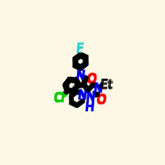 CCN1C(=O)NC(c2cn(-c3ccc(F)cc3)c3ccc(Cl)cc23)(N2CCCCC2)C1=O